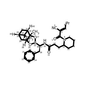 CC(C)C=C(C#N)C(=O)N1CCCCC1CCC(=O)N[C@@H](Cc1ccccc1)B1O[C@@H]2C[C@@H]3C[C@@H](C3(C)C)[C@]2(C)O1